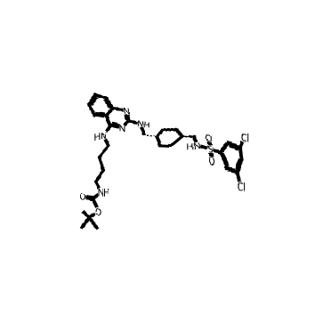 CC(C)(C)OC(=O)NCCCCNc1nc(NC[C@H]2CC[C@H](CNS(=O)(=O)c3cc(Cl)cc(Cl)c3)CC2)nc2ccccc12